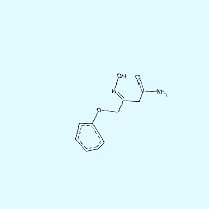 NC(=O)CC(COc1ccccc1)=NO